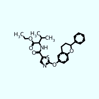 CCOC(=O)C(NC(=O)c1cnc(Oc2ccc3c(c2)CCC(c2ccccc2)O3)s1)C(C)C